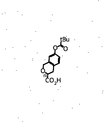 CC(C)(C)C(=O)Oc1ccc2c(c1)CO[C@H](C(=O)O)C2